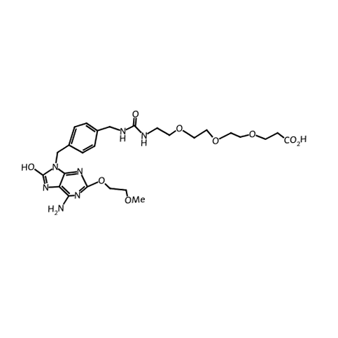 COCCOc1nc(N)c2nc(O)n(Cc3ccc(CNC(=O)NCCOCCOCCOCCC(=O)O)cc3)c2n1